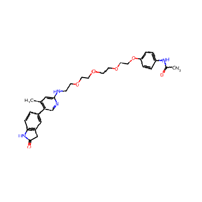 CC(=O)Nc1ccc(OCCOCCOCCOCCNc2cc(C)c(-c3ccc4c(c3)CC(=O)N4)cn2)cc1